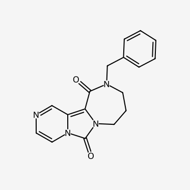 O=C1c2c3cnccn3c(=O)n2CCCN1Cc1ccccc1